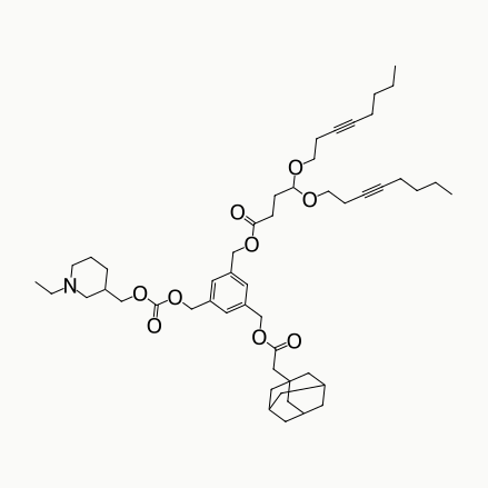 CCCCC#CCCOC(CCC(=O)OCc1cc(COC(=O)CC23CC4CC(CC(C4)C2)C3)cc(COC(=O)OCC2CCCN(CC)C2)c1)OCCC#CCCCC